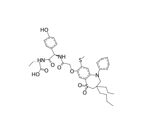 CCCCC1(CCC)CN(c2ccccc2)c2cc(SC)c(OCC(=O)N[C@@H](C(=O)N[C@@H](CC)C(=O)O)c3ccc(O)cc3)cc2S(=O)(=O)C1